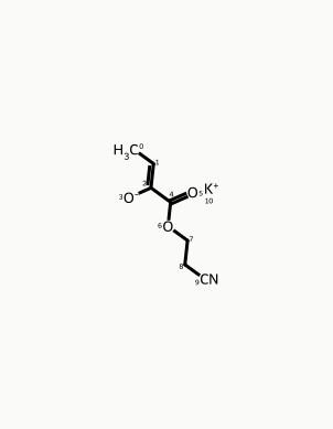 CC=C([O-])C(=O)OCCC#N.[K+]